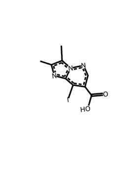 Cc1nc2c(I)c(C(=O)O)cnn2c1C